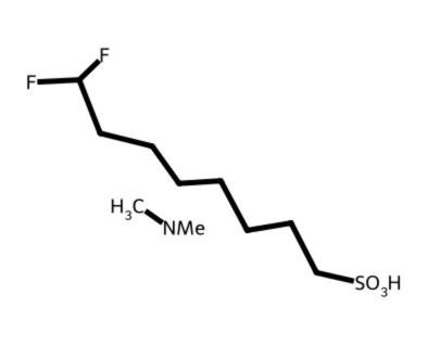 CNC.O=S(=O)(O)CCCCCCCC(F)F